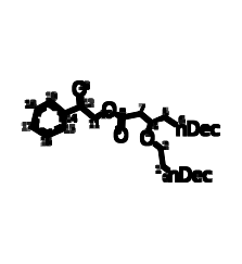 CCCCCCCCCCCCO[C@H](CCCCCCCCCCC)CC(=O)OCC(=O)c1ccccc1